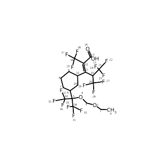 CCOCOC(C1CCCC(C(=C(C(=O)O)C(F)(F)F)C(C(F)(F)F)C(F)(F)F)C1)(C(F)(F)F)C(F)(F)F